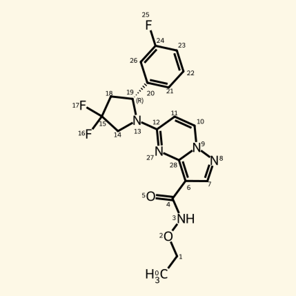 CCONC(=O)c1cnn2ccc(N3CC(F)(F)C[C@@H]3c3cccc(F)c3)nc12